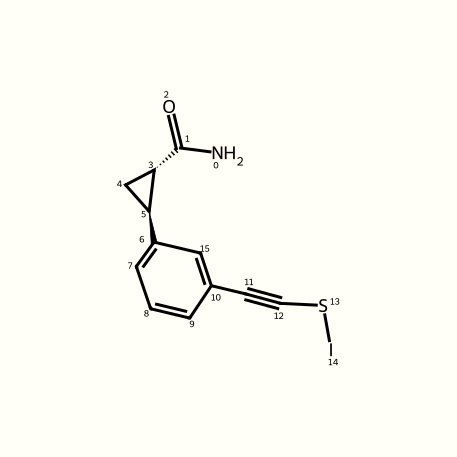 NC(=O)[C@H]1C[C@@H]1c1cccc(C#CSI)c1